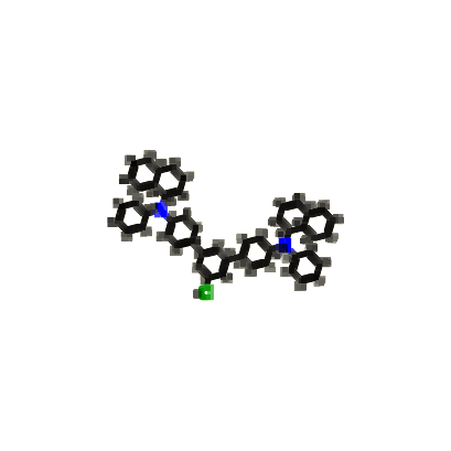 Clc1cc(-c2ccc(N(c3ccccc3)c3cccc4ccccc34)cc2)cc(-c2ccc(N(c3ccccc3)c3cccc4ccccc34)cc2)c1